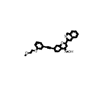 COCCOc1cccc(C#Cc2ccc3c(=NO)cc(-c4cc5ccccc5cn4)oc3c2)c1